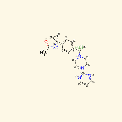 CC(=O)NC1(c2ccc(CN3CCN(c4ncccn4)CC3)cc2)CC1.Cl